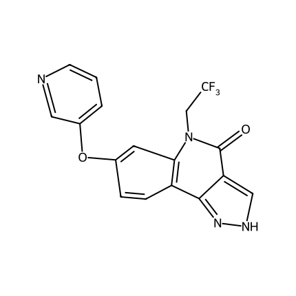 O=c1c2c[nH]nc2c2ccc(Oc3cccnc3)cc2n1CC(F)(F)F